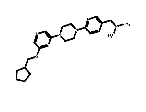 CN(C)Cc1ccc(N2CCN(c3cncc(OCC4CCCC4)n3)CC2)nc1